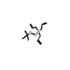 C=CC[Si](CC=C)(CC=C)OOC(C)(C)C